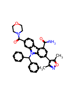 Cc1noc(C)c1-c1cc(C(N)=O)c2c3ccc(C(=O)N4CCOCC4)cc3n(C(c3ccccc3)c3ccccc3)c2c1